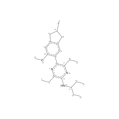 CCc1nc(-c2cc3c(cc2OC)CC(F)C3)c(CC)nc1NC(CC)CC